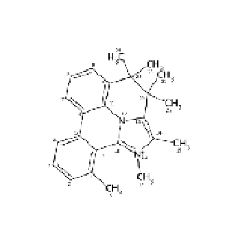 Cc1cccc2c3cccc4c3n3c(c(C)[n+](C)c3c12)C(C)(C)C4(C)C